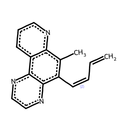 C=C/C=C\c1c(C)c2ncccc2c2nccnc12